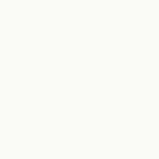 CCSCCl